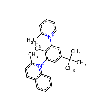 Cc1c(-[n+]2ccccc2C)cc(C(C)(C)C)cc1-[n+]1c(C)ccc2ccccc21